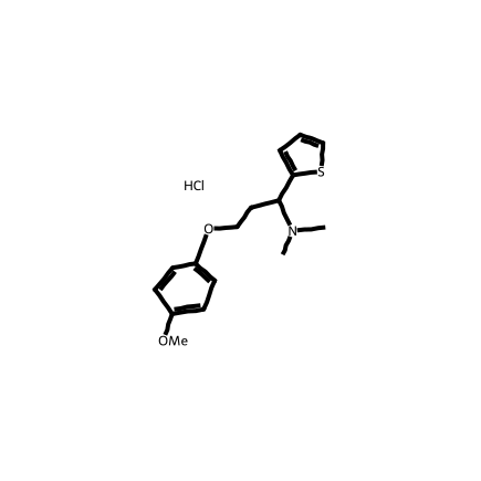 COc1ccc(OCCC(c2cccs2)N(C)C)cc1.Cl